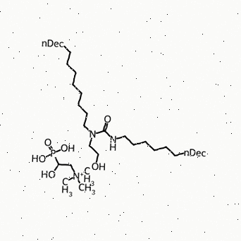 CCCCCCCCCCCCCCCCCCN(CCO)C(=O)NCCCCCCCCCCCCCCCC.C[N+](C)(C)CC(O)P(=O)(O)O